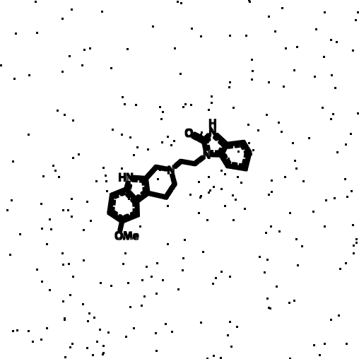 COc1ccc2[nH]c3c(c2c1)CCN(CCn1c(=O)[nH]c2ccccc21)C3